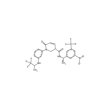 CC(Nc1cccc(N2CC(C(=O)N[C@H](C)c3cc([N+](=O)[O-])cc(C(F)(F)F)c3)C=CC2=O)c1)C(F)(F)F